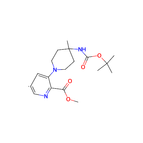 COC(=O)c1nc[c]cc1N1CCC(C)(NC(=O)OC(C)(C)C)CC1